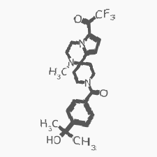 CN1CCn2c(C(=O)C(F)(F)F)ccc2C12CCN(C(=O)c1ccc(C(C)(C)O)cc1)CC2